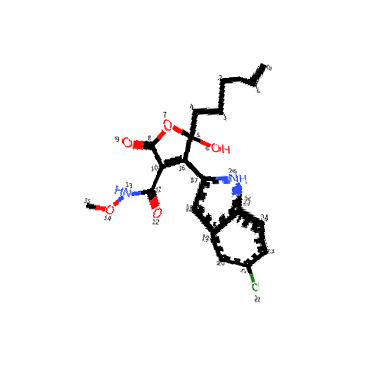 CCCCCC1(O)OC(=O)C(C(=O)NOC)=C1c1cc2cc(Cl)ccc2[nH]1